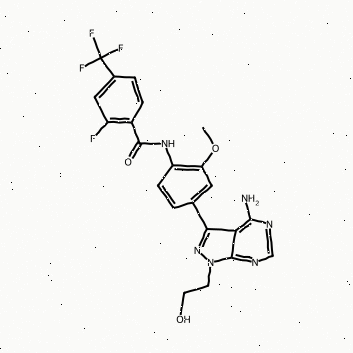 COc1cc(-c2nn(CCO)c3ncnc(N)c23)ccc1NC(=O)c1ccc(C(F)(F)F)cc1F